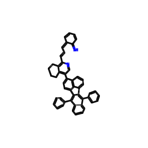 N=C1C=CC=C/C1=C/C=C/c1ncc(-c2ccc3c4c(cccc24)-c2c-3c(-c3ccccc3)c3ccccc3c2-c2ccccc2)c2c1CCCC2